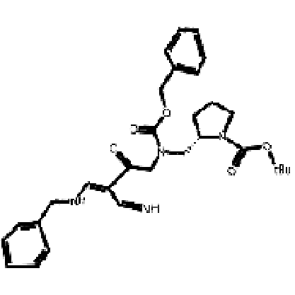 CC(C)(C)OC(=O)N1CCC[C@H]1CN(CC(=O)/C(C=N)=C/NCc1ccccc1)C(=O)OCc1ccccc1